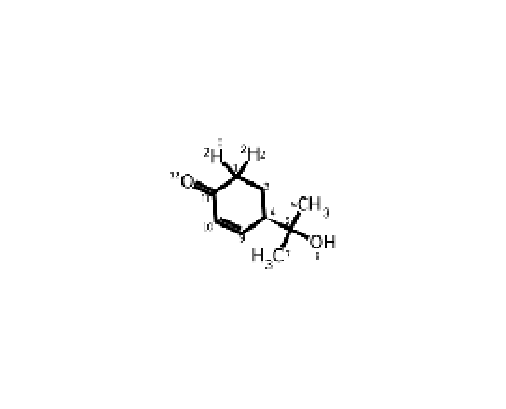 [2H]C1([2H])C[C@@H](C(C)(C)O)C=CC1=O